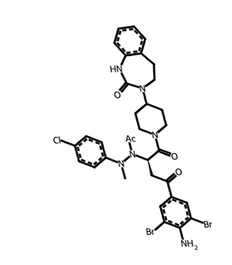 CC(=O)N([C@H](CC(=O)c1cc(Br)c(N)c(Br)c1)C(=O)N1CCC(N2CCc3ccccc3NC2=O)CC1)N(C)c1ccc(Cl)cc1